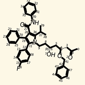 CC(=O)C[C@@H](C[C@H](O)CCn1c(-c2ccc(F)cc2)c(-c2ccccc2)c(C(=O)Nc2ccccc2)c1C(C)C)OCc1ccccc1